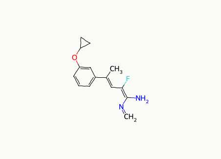 C=N/C(N)=C(F)\C=C(/C)c1cccc(OC2CC2)c1